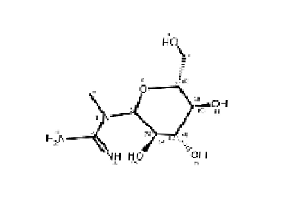 CN(C(=N)N)C1O[C@H](CO)[C@@H](O)[C@H](O)[C@H]1O